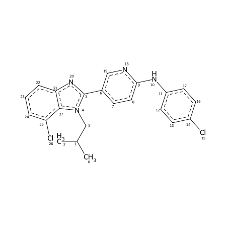 CC(C)Cn1c(-c2ccc(Nc3ccc(Cl)cc3)nc2)nc2cccc(Cl)c21